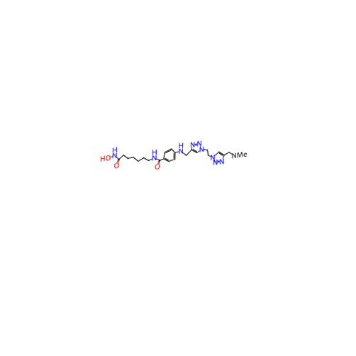 CNCc1cn(CCn2cc(CNc3ccc(C(=O)NCCCCCCC(=O)NO)cc3)nn2)nn1